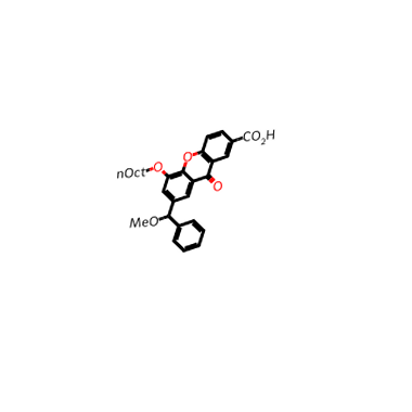 CCCCCCCCOc1cc(C(OC)c2ccccc2)cc2c(=O)c3cc(C(=O)O)ccc3oc12